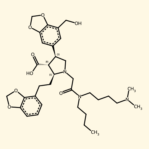 CCCCN(CCCCN(C)C)C(=O)CN1C[C@H](c2cc(CO)c3c(c2)OCO3)[C@@H](C(=O)O)[C@@H]1CCc1cccc2c1OCO2